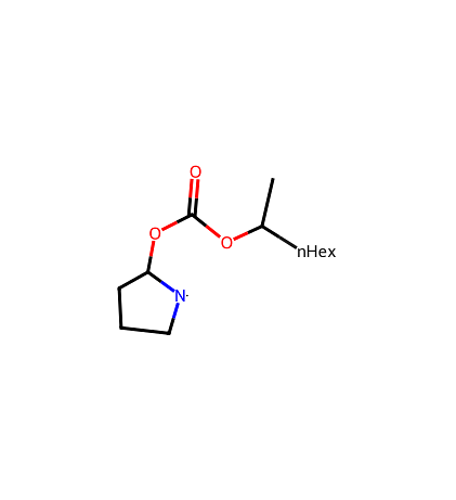 CCCCCCC(C)OC(=O)OC1CCC[N]1